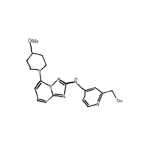 COC1CCN(c2cccc3nc(Nc4ccnc(CO)c4)nn23)CC1